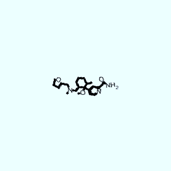 COC1(c2ccnc(C(N)=O)c2)C(C)CCCC1CN(C)CC1CCCO1